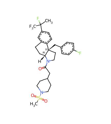 CC(F)(c1ccc2c(c1)CC[C@H]1N(C(=O)CC3CCN(S(C)(=O)=O)CC3)CC[C@@]21Cc1ccc(F)cc1)C(F)(F)F